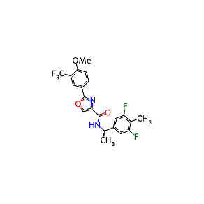 COc1ccc(-c2nc(C(=O)N[C@H](C)c3cc(F)c(C)c(F)c3)co2)cc1C(F)(F)F